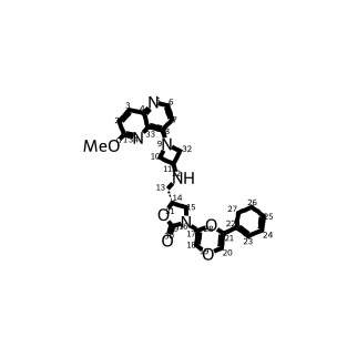 COc1ccc2nccc(N3CC(NC[C@@H]4CN(C5=COC=C(C6=CC=CCC6)O5)C(=O)O4)C3)c2n1